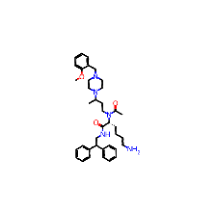 COc1ccccc1CN1CCN(C(C)CCN(C(C)=O)[C@H](CCCCN)C(=O)NCC(c2ccccc2)c2ccccc2)CC1